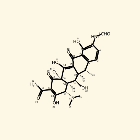 C[C@H]1c2ccc(NC=O)c(O)c2C(=O)C2=C(O)[C@]3(O)C(=O)C(C(N)=O)=C(O)[C@@H](N(C)C)[C@@H]3[C@H](O)[C@@H]21